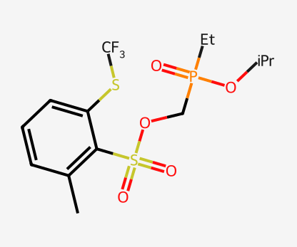 CCP(=O)(COS(=O)(=O)c1c(C)cccc1SC(F)(F)F)OC(C)C